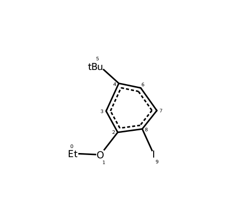 CCOc1cc(C(C)(C)C)ccc1I